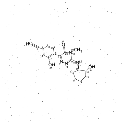 C#Cc1ccc(-c2nnc(N[C@@H]3CCCC[C@H]3O)n(C)c2=O)c(O)c1